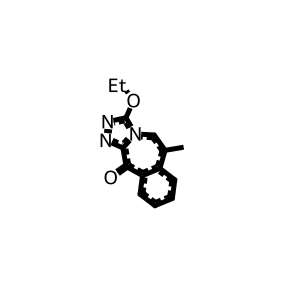 CCOc1nnc2c(=O)c3ccccc3c(C)cn12